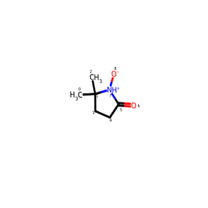 CC1(C)CCC(=O)[NH+]1[O-]